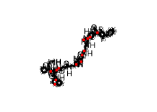 CN[C@@H](C)C(=O)N[C@H](C(=O)N1C[C@@H](NC(=O)CCC(=O)NCCN2C[C@@H]3CN(CC(=O)NCCCNc4cc(N5CCC6(CC5)CN(c5cc(F)c(CN7CCC(C)(C)CC7)cc5F)CC(=O)N6)ncn4)C[C@@H]3C2)C[C@H]1C(=O)NC1CCCc2ccccc21)C1CCCCC1